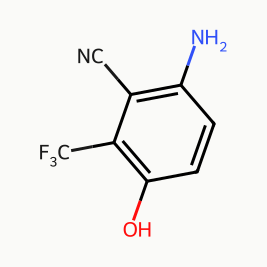 N#Cc1c(N)ccc(O)c1C(F)(F)F